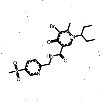 CCC(CC)n1cc(C(=O)NCc2ccc(S(C)(=O)=O)cn2)c(=O)c(Br)c1C